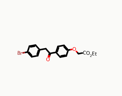 CCOC(=O)COc1ccc(C(=O)Cc2ccc(Br)cc2)cc1